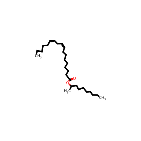 CCCCC/C=C\C/C=C\CCCCCCCC(=O)OC(C)CCCCCCCC